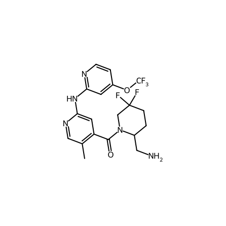 Cc1cnc(Nc2cc(OC(F)(F)F)ccn2)cc1C(=O)N1CC(F)(F)CCC1CN